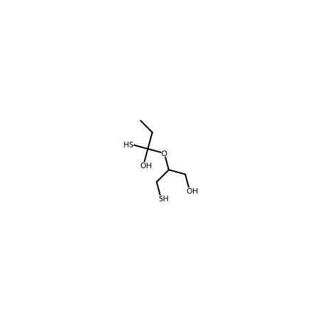 CCC(O)(S)OC(CO)CS